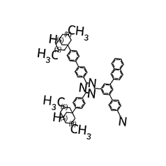 C[C@@H]1C[C@@H]2C[C@H](C)CC(c3ccc(-c4ccc(-c5nc(-c6ccc(C78C[C@H](C)C[C@H](C[C@H](C)C7)C8)cc6)nc(-c6cc(-c7ccc(C#N)cc7)cc(-c7ccc8ccccc8c7)c6)n5)cc4)cc3)(C1)C2